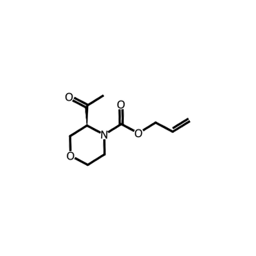 C=CCOC(=O)N1CCOC[C@H]1C(C)=O